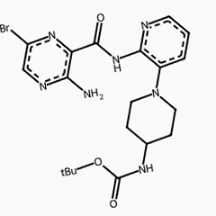 CC(C)(C)OC(=O)NC1CCN(c2cccnc2NC(=O)c2nc(Br)cnc2N)CC1